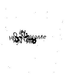 COc1cccc2[nH]c(C(=O)N[C@@H](CC(C)C)C(=O)N[C@H](CN)C[C@@H]3CCCNC3=O)cc12